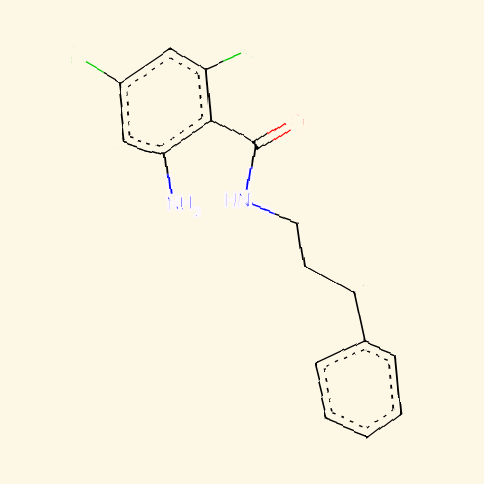 Nc1cc(Cl)cc(Cl)c1C(=O)NCCCc1ccccc1